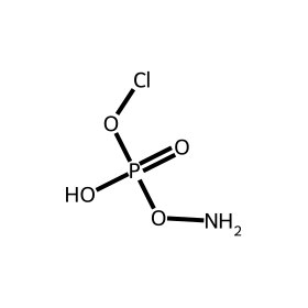 NOP(=O)(O)OCl